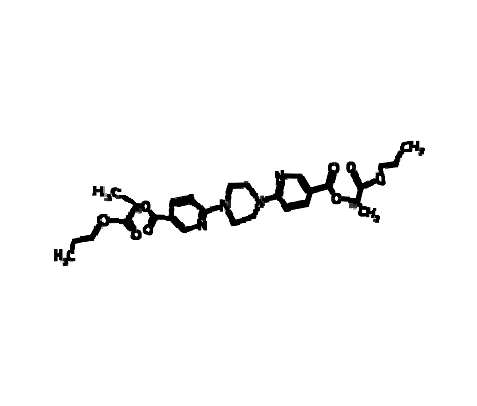 CCCOC(=O)[C@@H](C)OC(=O)c1ccc(N2CCN(c3ccc(C(=O)O[C@H](C)C(=O)OCCC)cn3)CC2)nc1